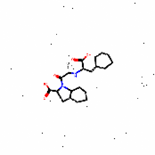 C[C@H](NC(CC1CCCCC1)C(=O)O)C(=O)N1C(C(=O)O)CC2CCCCC21